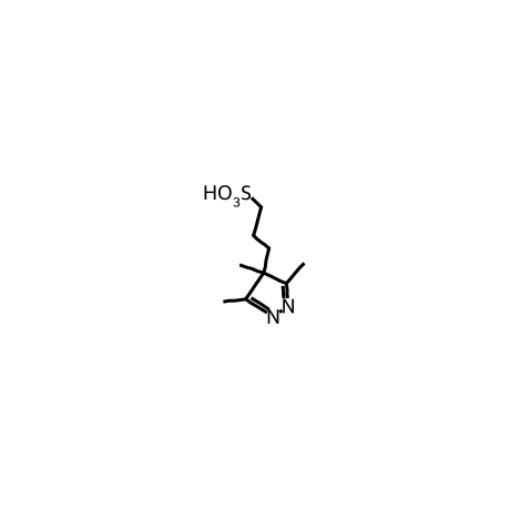 CC1=NN=C(C)C1(C)CCCS(=O)(=O)O